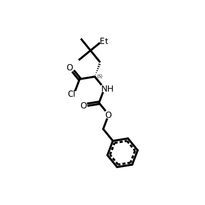 CCC(C)(C)C[C@H](NC(=O)OCc1ccccc1)C(=O)Cl